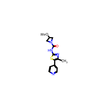 COC1CN(C(=O)Nc2nc(C)c(-c3ccncc3)s2)C1